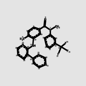 Cc1ccc(C(=O)N(C)c2cccc(C(F)(F)F)c2)cc1Nc1ncccc1-c1ccncn1